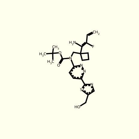 C=C/C(F)=C(\N)C1(CN(C(=O)OC(C)(C)C)c2ccc(-c3ncc(CO)s3)nn2)CCC1